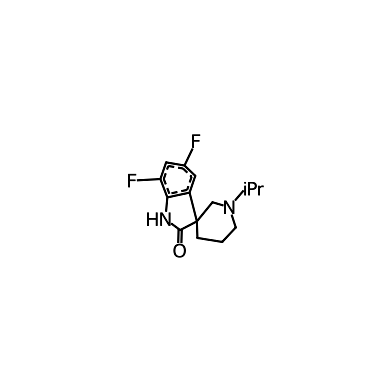 CC(C)N1CCCC2(C1)C(=O)Nc1c(F)cc(F)cc12